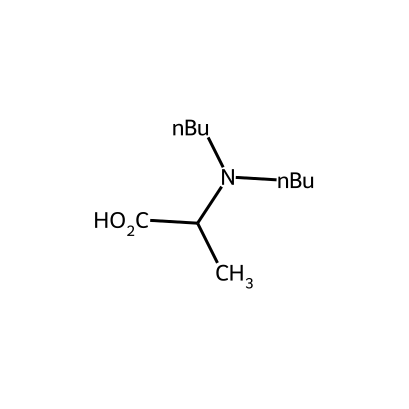 CCCCN(CCCC)C(C)C(=O)O